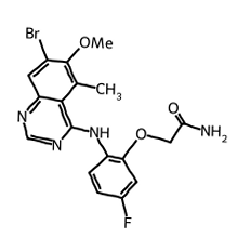 COc1c(Br)cc2ncnc(Nc3ccc(F)cc3OCC(N)=O)c2c1C